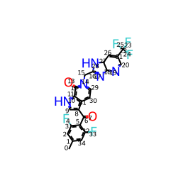 Cc1cc(F)c(C(=O)c2c[nH]c3c(=O)n(CC4=NC5N=CC(C(F)(F)F)=CC5N4)ccc23)c(F)c1